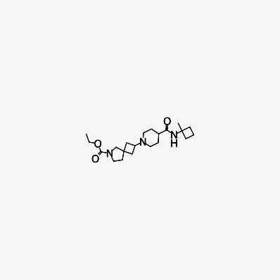 CCOC(=O)N1CCC2(CC(N3CCC(C(=O)NC4(C)CCC4)CC3)C2)C1